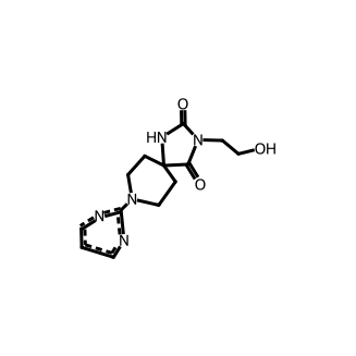 O=C1NC2(CCN(c3ncccn3)CC2)C(=O)N1CCO